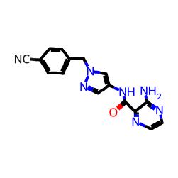 N#Cc1ccc(Cn2cc(NC(=O)c3nccnc3N)cn2)cc1